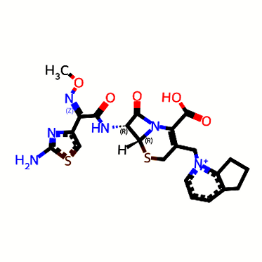 CO/N=C(\C(=O)N[C@@H]1C(=O)N2C(C(=O)O)=C(C[n+]3cccc4c3CCC4)CS[C@H]12)c1csc(N)n1